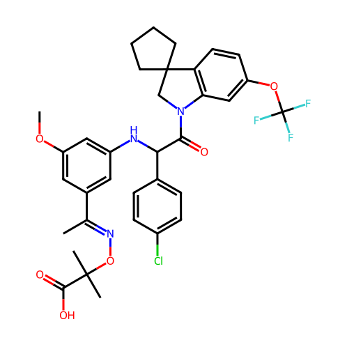 COc1cc(NC(C(=O)N2CC3(CCCC3)c3ccc(OC(F)(F)F)cc32)c2ccc(Cl)cc2)cc(C(C)=NOC(C)(C)C(=O)O)c1